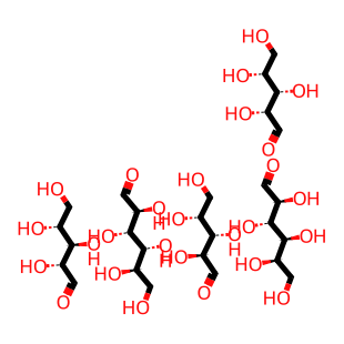 O=C[C@@H](O)[C@@H](O)[C@@H](O)[C@H](O)CO.O=C[C@@H](O)[C@@H](O)[C@H](O)CO.O=C[C@@H](O)[C@@H](O)[C@H](O)[C@H](O)CO.O=C[C@H](O)[C@@H](O)[C@H](O)CO.O=C[C@H](O)[C@H](O)[C@H](O)CO